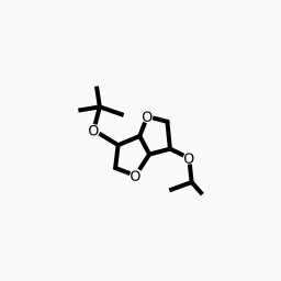 CC(C)OC1COC2C(OC(C)(C)C)COC12